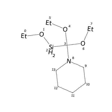 CCO[SiH2]C(OCC)(OCC)N1CCCCC1